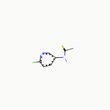 CCCN(C(=S)NC)c1ccc(Cl)nc1